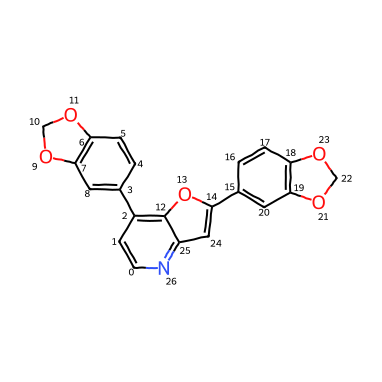 c1cc(-c2ccc3c(c2)OCO3)c2oc(-c3ccc4c(c3)OCO4)cc2n1